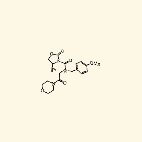 COc1ccc(C[C@H](CC(=O)N2CCOCC2)C(=O)N2C(=O)OCC2C(C)C)cc1